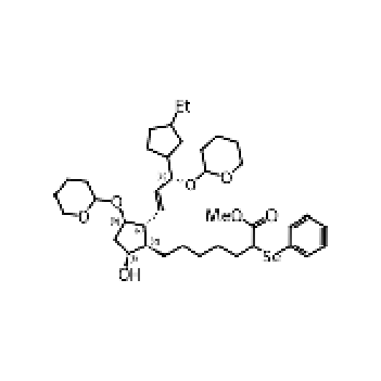 CCC1CCC([C@@H](C=C[C@@H]2[C@@H](CCCCCC([Se]c3ccccc3)C(=O)OC)[C@@H](O)C[C@H]2OC2CCCCO2)OC2CCCCO2)C1